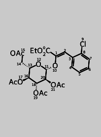 CCOC(=O)/C(=C/c1ccccc1Cl)O[C@H]1O[C@@H](COC(C)=O)[C@H](OC(C)=O)[C@@H](OC(C)=O)[C@@H]1OC(C)=O